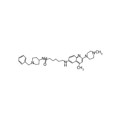 Cc1cc(N2CCN(C)CC2)nc2ccc(NCCCCCC(=O)NC3CCN(Cc4ccccc4)CC3)cc12